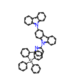 c1ccc([Si](c2ccccc2)(c2ccccc2)c2ccccc2-c2cccc(-n3c4ccccc4c4cc(-n5c6ccccc6c6ccccc65)ccc43)n2)cc1